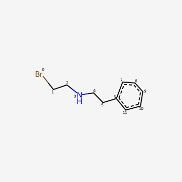 BrCCNCCc1ccccc1